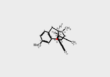 COc1ccc2c(c1)[C@]13CCN(C)[C@H](C2)[C@@H]1C=C(C)C(=O)C3